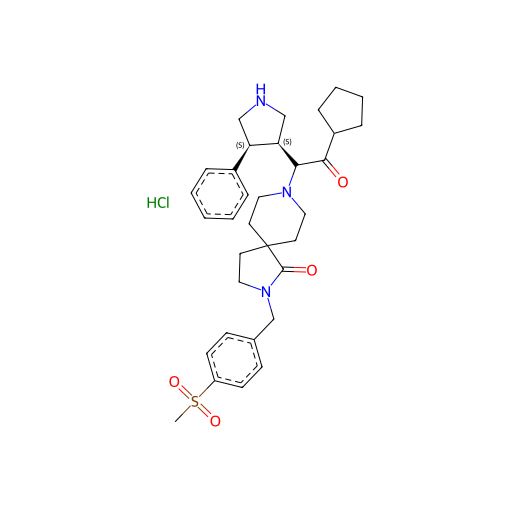 CS(=O)(=O)c1ccc(CN2CCC3(CCN(C(C(=O)C4CCCC4)[C@@H]4CNC[C@@H]4c4ccccc4)CC3)C2=O)cc1.Cl